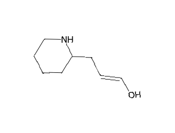 OC=CCC1CCCCN1